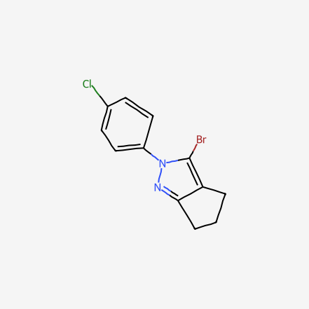 Clc1ccc(-n2nc3c(c2Br)CCC3)cc1